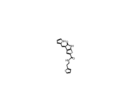 O=C1Nc2sc(C(=O)NCCc3cccs3)cc2C1=Cc1ccc[nH]1